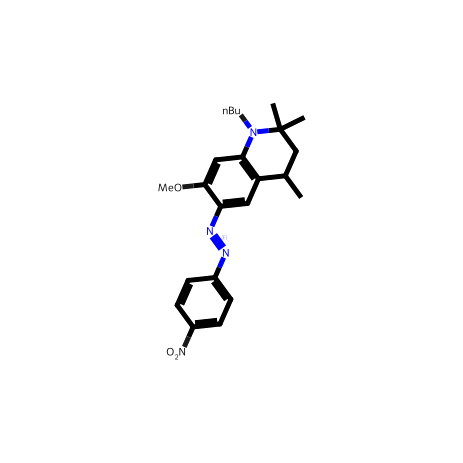 CCCCN1c2cc(OC)c(/N=N/c3ccc([N+](=O)[O-])cc3)cc2C(C)CC1(C)C